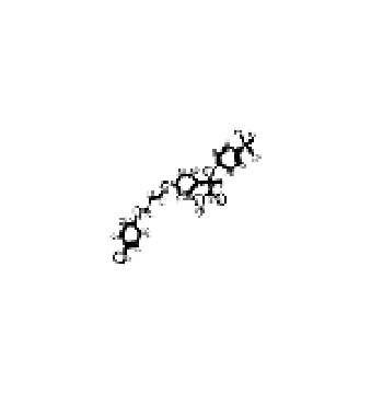 COC(=O)C(C)(Oc1ccc(C(C)(C)C)cc1)c1ccc(OCCCOc2ccc(Cl)cc2)cc1